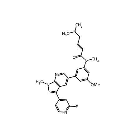 COc1cc(-c2cnc3c(c2)c(-c2ccnc(F)c2)cn3C)cc(N(C)C(=O)/C=C/CN(C)C)c1